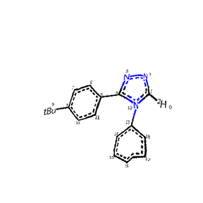 [2H]c1nnc(-c2ccc(C(C)(C)C)cc2)n1-c1ccccc1